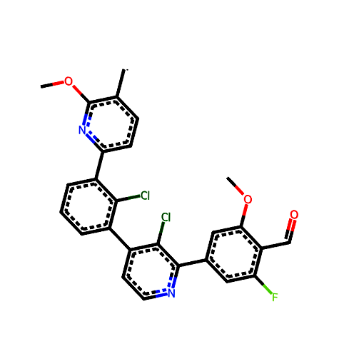 [CH2]c1ccc(-c2cccc(-c3ccnc(-c4cc(F)c(C=O)c(OC)c4)c3Cl)c2Cl)nc1OC